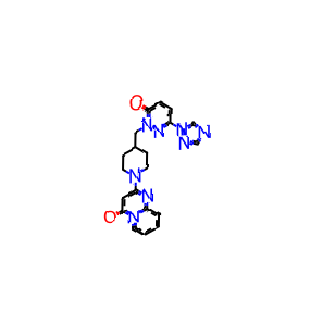 O=c1ccc(-n2cncn2)nn1CC1CCN(c2cc(=O)n3ccccc3n2)CC1